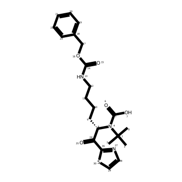 CC(C)(C)N(C(=O)O)[C@@H](CCCCNC(=O)OCc1ccccc1)C(=O)c1nccs1